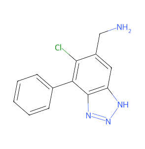 NCc1cc2[nH]nnc2c(-c2ccccc2)c1Cl